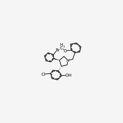 COc1ccccc1CN1C[C@H](c2cc(Cl)ccc2O)[C@@H](c2ccccc2Br)C1